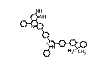 CC1(C)c2ccccc2-c2ccc(-c3ccc(-c4cc(-c5ccc(-c6ccc7c8c(c(-c9ccccc9)nc7c6)C=CC(=N)C8=N)cc5)nc(-c5ccccc5)n4)cc3)cc21